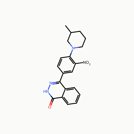 CC1CCCN(c2ccc(-c3n[nH]c(=O)c4ccccc34)cc2[N+](=O)[O-])C1